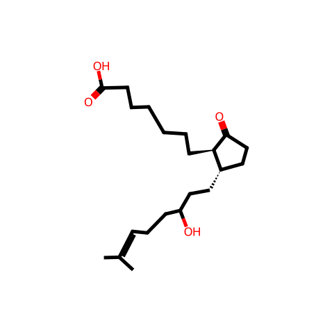 CC(C)=CCCC(O)CC[C@H]1CCC(=O)[C@@H]1CCCCCCC(=O)O